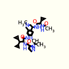 CC(=O)N[C@@H](C(=O)NC1CN(C)Cc2cc(NC(=O)[C@@H](NC(=O)c3ccnn3C(C)C)C(C3CC3)C3CC3)ccc21)C1CC1